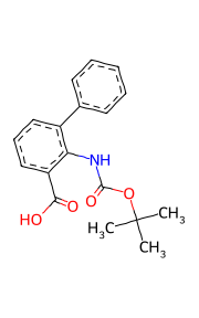 CC(C)(C)OC(=O)Nc1c(C(=O)O)cccc1-c1ccccc1